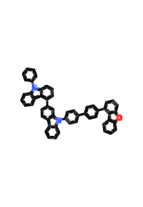 c1ccc(-n2c3ccccc3c3c(-c4ccc5c6ccccc6n(-c6ccc(-c7ccc(-c8cccc9oc%10ccccc%10c89)cc7)cc6)c5c4)cccc32)cc1